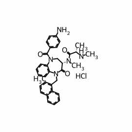 CN[C@@H](C)C(=O)N(C)[C@H]1CN(C(=O)c2ccc(N)cc2)c2ccccc2N(Cc2c(C)ccc3ccccc23)C1=O.Cl